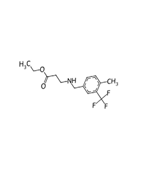 CCOC(=O)CCNCc1ccc(C)c(C(F)(F)F)c1